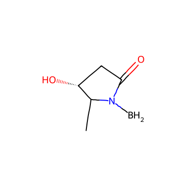 BN1C(=O)C[C@@H](O)C1C